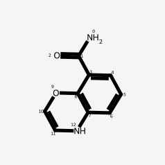 NC(=O)c1cccc2c1OC=CN2